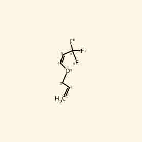 C=CCO/C=C\C(F)(F)F